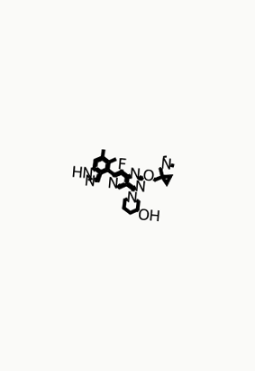 Cc1cc2[nH]ncc2c(-c2ncc3c(N4CCCC(O)C4)nc(OCC4(CN(C)C)CC4)nc3c2F)c1C